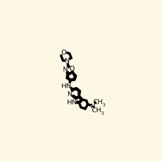 CN(C)C1CCc2[nH]c3nc(Nc4ccc5oc(N6CCOCC6)nc5c4)ccc3c2C1